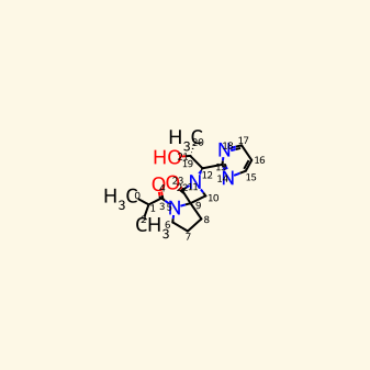 CC(C)C(=O)N1CCCC12CN([C@H](c1ncccn1)[C@@H](C)O)C2=O